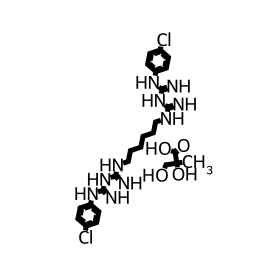 CC(O)(CO)C(=O)O.N=C(NCCCCCCNC(=N)NC(=N)Nc1ccc(Cl)cc1)NC(=N)Nc1ccc(Cl)cc1